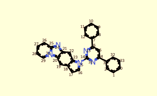 c1ccc(-c2cc(-c3ccccc3)nc(-n3ccc4cc5c(cc43)nc3ccccn35)n2)cc1